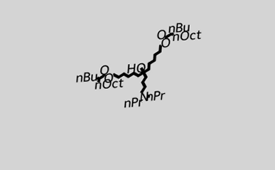 CCCCCCCCC(CCCC)C(=O)OCCCCCCC(O)(CCCCCCOC(=O)C(CCCC)CCCCCCCC)CCCCN(CCC)CCC